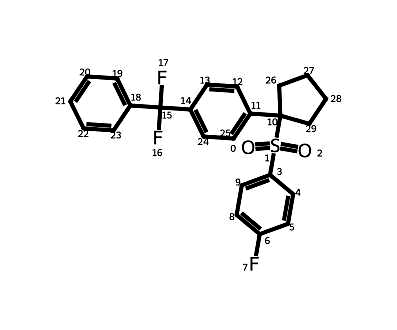 O=S(=O)(c1ccc(F)cc1)C1(c2ccc(C(F)(F)c3ccccc3)cc2)CCCC1